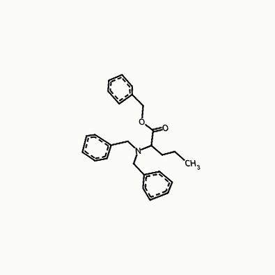 CCCC(C(=O)OCc1ccccc1)N(Cc1ccccc1)Cc1ccccc1